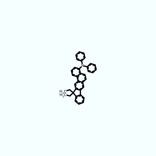 CCC1(CC)c2ccccc2-c2cc3ccc4c(N(c5ccccc5)c5ccccc5)cccc4c3cc21